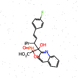 CC(C)C(C=Cc1ccc(F)cc1)C(O)(c1ccc2ccccc2n1)C(O)([PH2]=O)C(=O)O